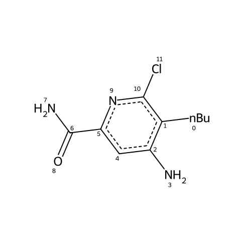 CCCCc1c(N)cc(C(N)=O)nc1Cl